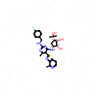 Cc1nc(NCc2ccc(F)cc2)nc(N[C@@H]2C[C@H](C(C)(C)O)[C@@H](O)[C@H]2O)c1-c1nc2c(C)nccc2s1